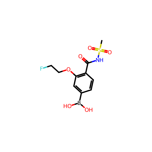 CS(=O)(=O)NC(=O)c1ccc(B(O)O)cc1OCCF